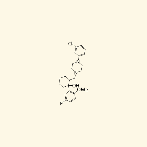 COc1ccc(F)cc1C1(O)CCCCC1CN1CCN(c2cccc(Cl)c2)CC1